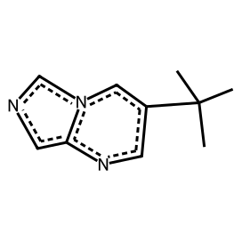 CC(C)(C)c1cnc2cncn2c1